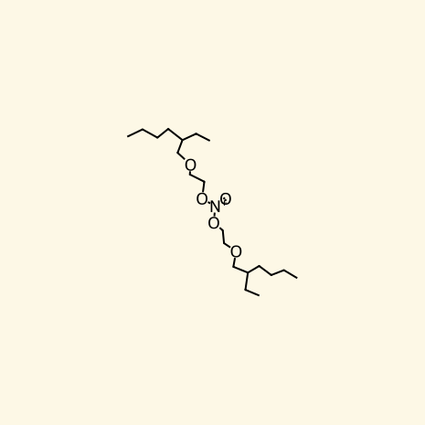 CCCCC(CC)COCCO[N+](=O)OCCOCC(CC)CCCC